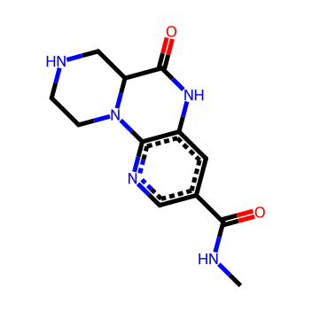 CNC(=O)c1cnc2c(c1)NC(=O)C1CNCCN21